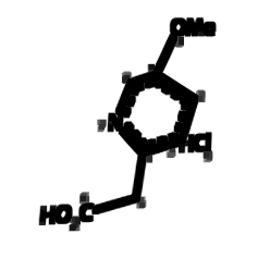 COc1ccc(CC(=O)O)nc1.Cl